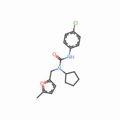 Cc1ccc(CN(C(=O)Nc2ccc(Cl)cc2)C2CCCC2)o1